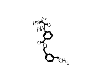 C=Cc1cccc(COC(=O)c2cccc(NC(=O)C(=N)C(C)=O)c2)c1